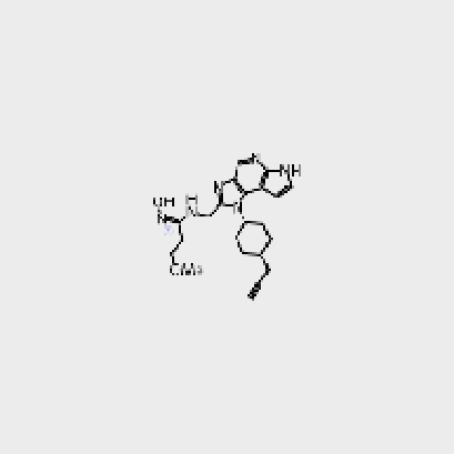 C#CC[C@H]1CC[C@H](n2c(CN/C(CCOC)=N\O)nc3cnc4[nH]ccc4c32)CC1